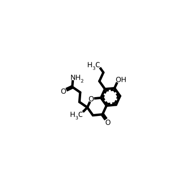 CCCc1c(O)ccc2c1OC(C)(CCC(N)=O)CC2=O